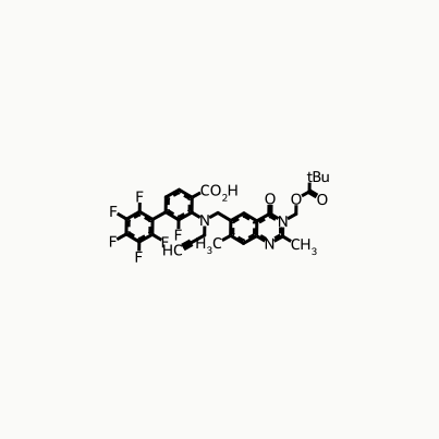 C#CCN(Cc1cc2c(=O)n(COC(=O)C(C)(C)C)c(C)nc2cc1C)c1c(C(=O)O)ccc(-c2c(F)c(F)c(F)c(F)c2F)c1F